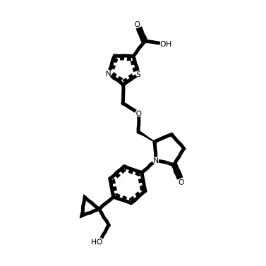 O=C(O)c1cnc(COC[C@H]2CCC(=O)N2c2ccc(C3(CO)CC3)cc2)s1